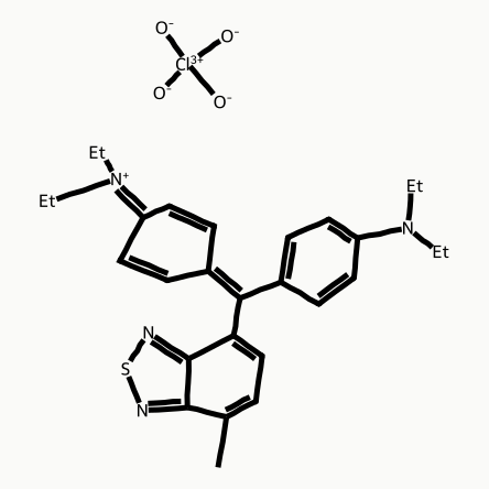 CCN(CC)c1ccc(C(=C2C=CC(=[N+](CC)CC)C=C2)c2ccc(C)c3nsnc23)cc1.[O-][Cl+3]([O-])([O-])[O-]